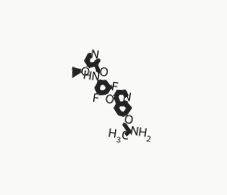 CC(N)COc1ccc2c(Oc3c(F)cc(NC(=O)c4cnccc4OC4CC4)cc3F)ccnc2c1